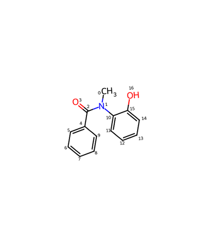 CN(C(=O)c1ccccc1)c1ccccc1O